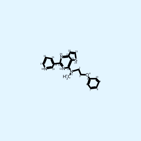 CN(CCOc1ccccc1)c1nc(-c2cccnc2)nc2ccsc12